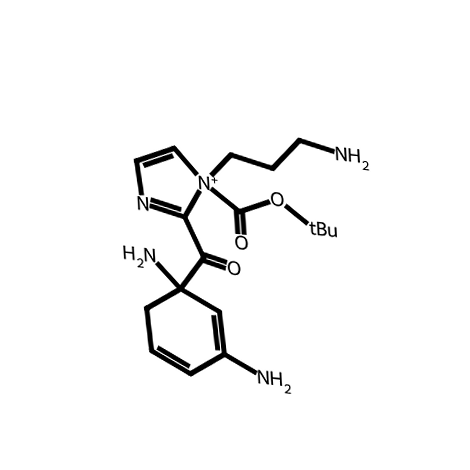 CC(C)(C)OC(=O)[N+]1(CCCN)C=CN=C1C(=O)C1(N)C=C(N)C=CC1